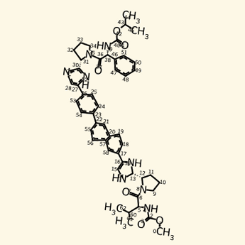 COC(=O)N[C@H](C(=O)N1CCC[C@H]1C1NC=C(c2ccc3cc(-c4ccc(-c5cnc([C@@H]6CCCN6C(=O)[C@H](NC(=O)OC(C)C)c6ccccc6)[nH]5)cc4)ccc3c2)N1)C(C)C